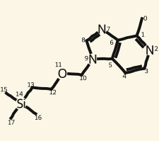 Cc1nccc2c1ncn2COCC[Si](C)(C)C